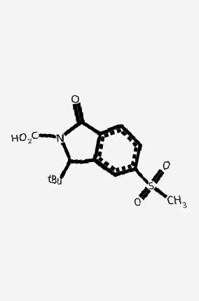 CC(C)(C)C1c2cc(S(C)(=O)=O)ccc2C(=O)N1C(=O)O